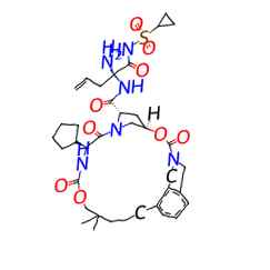 C=CC[C@@](N)(NC(=O)[C@@H]1C[C@@H]2CN1C(=O)[C@H](C1CCCC1)NC(=O)OCC(C)(C)CCCc1cccc3c1CN(C3)C(=O)O2)C(=O)NS(=O)(=O)C1CC1